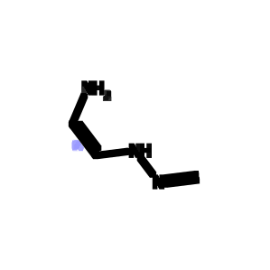 C=NN/C=C\N